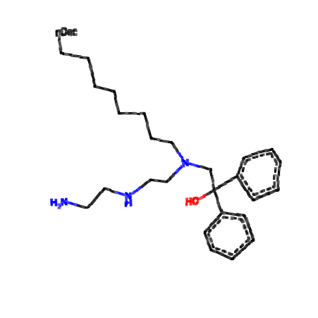 CCCCCCCCCCCCCCCCCCN(CCNCCN)CC(O)(c1ccccc1)c1ccccc1